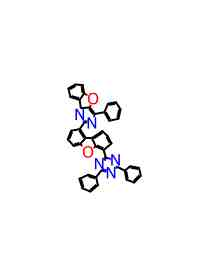 c1ccc(-c2nc(-c3ccccc3)nc(-c3cccc4c3oc3cccc(-c5nc(-c6ccccc6)c6oc7ccccc7c6n5)c34)n2)cc1